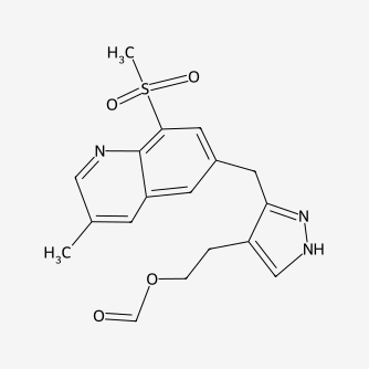 Cc1cnc2c(S(C)(=O)=O)cc(Cc3n[nH]cc3CCOC=O)cc2c1